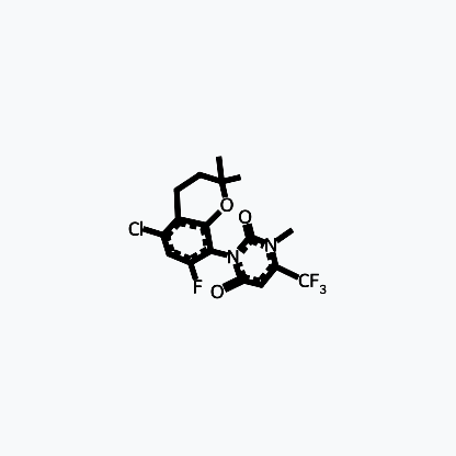 Cn1c(C(F)(F)F)cc(=O)n(-c2c(F)cc(Cl)c3c2OC(C)(C)CC3)c1=O